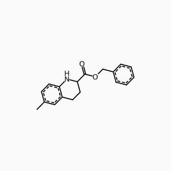 Cc1ccc2c(c1)CCC(C(=O)OCc1ccccc1)N2